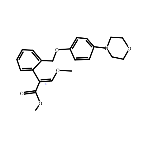 CO/C=C(/C(=O)OC)c1ccccc1COc1ccc(N2CCOCC2)cc1